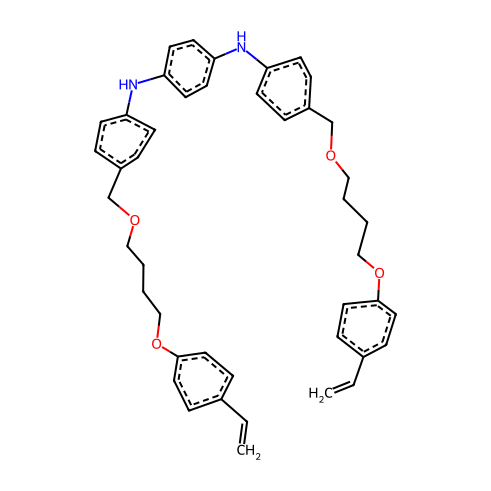 C=Cc1ccc(OCCCCOCc2ccc(Nc3ccc(Nc4ccc(COCCCCOc5ccc(C=C)cc5)cc4)cc3)cc2)cc1